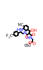 CC(C)(C)OC(=O)CNC(=O)c1c(O)c2ccc(C#N)c3c2n(c1=O)CC(c1ccc(C(F)(F)F)cc1)N3